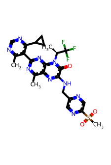 Cc1ncnc(C2CC2)c1-c1nc(C)c2nc(NCc3cnc(S(C)(=O)=O)cn3)c(=O)n([C@@H](C)C(F)(F)F)c2n1